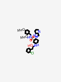 COc1ccc(CNS(=O)(=O)c2cc(NC(O)Cc3ccccc3Cl)ccc2-n2cc3ncccc3n2)c(OC)c1